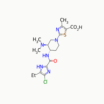 CCc1[nH]c(C(=O)N[C@H]2CCN(c3nc(C)c(C(=O)O)s3)C[C@@H]2N(C)C)nc1Cl